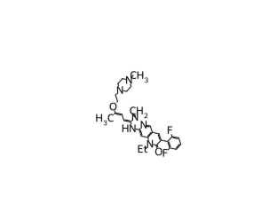 C=N/C(=C\C=C(/C)OCCN1CCN(C)CC1)Nc1cc2c(cn1)cc(-c1c(F)cccc1F)c(=O)n2CC